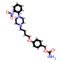 NC(=O)OCc1ccc(OCCCCN2CCN(c3ccccc3[N+](=O)[O-])CC2)cc1